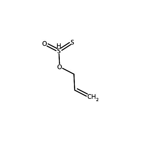 C=CCO[SH](=O)=S